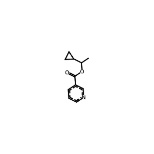 CC(OC(=O)c1cccnc1)C1CC1